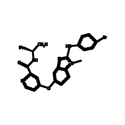 CC(C)[C@H](NC(=O)c1cc(Oc2ccc3c(c2)nc(Nc2ccc(Br)cc2)n3C)ccn1)C(=O)O